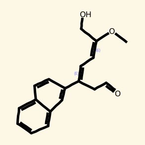 CO/C(=C/C=C(\CC=O)c1ccc2ccccc2c1)CO